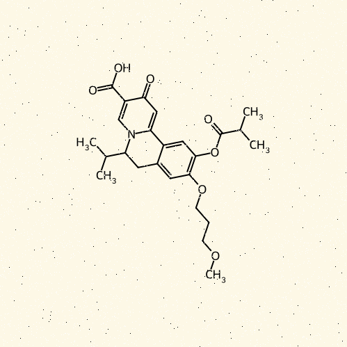 COCCCOc1cc2c(cc1OC(=O)C(C)C)-c1cc(=O)c(C(=O)O)cn1C(C(C)C)C2